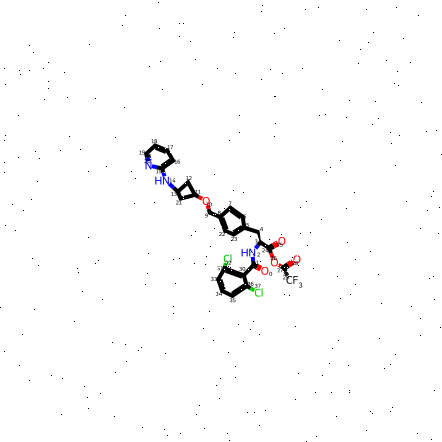 O=C(N[C@@H](Cc1ccc(COC2CC(Nc3ccccn3)C2)cc1)C(=O)OC(=O)C(F)(F)F)c1c(Cl)cccc1Cl